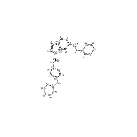 c1ccc(COc2ccc3snc(NCc4ccc(Cc5ccccc5)cc4)c3c2)cc1